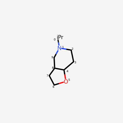 CC(C)N1CCC2OCCC2C1